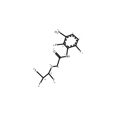 Nc1ccc(F)c(NC(=O)COC(F)C(F)F)c1F